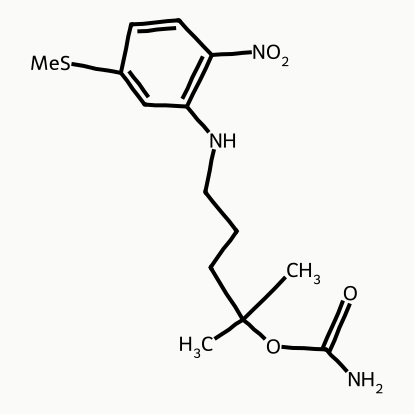 CSc1ccc([N+](=O)[O-])c(NCCCC(C)(C)OC(N)=O)c1